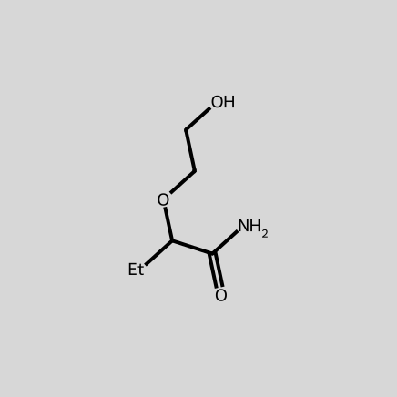 CCC(OCCO)C(N)=O